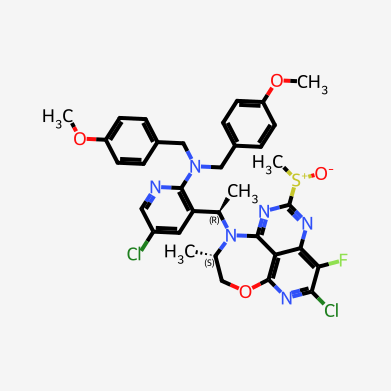 COc1ccc(CN(Cc2ccc(OC)cc2)c2ncc(Cl)cc2[C@@H](C)N2c3nc([S+](C)[O-])nc4c(F)c(Cl)nc(c34)OC[C@@H]2C)cc1